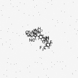 N#CCc1c(-c2ccc(NC(=O)Nc3cc(C(F)(F)F)ccc3F)cc2)c2c(N)ncnn2c1CN1CCOCC1